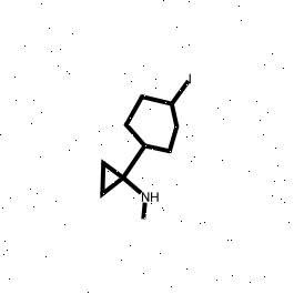 CNC1(C2CCC(I)CC2)CC1